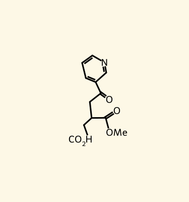 COC(=O)C(CC(=O)O)CC(=O)c1cccnc1